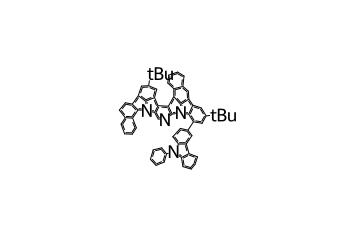 CC(C)(C)c1cc(-c2ccc3c(c2)c2ccccc2n3-c2ccccc2)c2c(c1)c1cc3ccccc3c3c4c5c6cc(C(C)(C)C)cc7c8ccc9ccccc9c8n(c5cnc4n2c13)c76